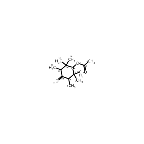 CC(=O)ON1C(C)(C)C(C)C(=O)C(C)C1(C)C